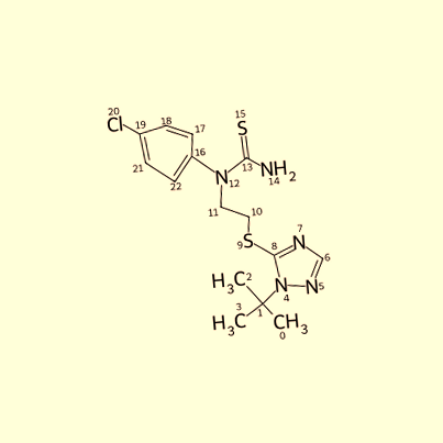 CC(C)(C)n1ncnc1SCCN(C(N)=S)c1ccc(Cl)cc1